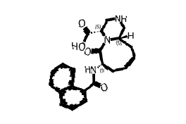 O=C(N[C@H]1CC=CC[C@H]2CNC[C@@H](C(=O)O)N2C1=O)c1cccc2ccccc12